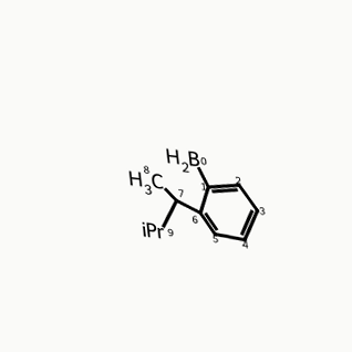 Bc1ccccc1C(C)C(C)C